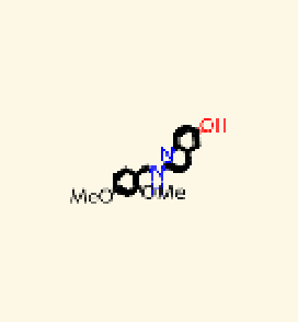 COc1ccc(CNc2ccc3cc(O)ccc3n2)c(OC)c1